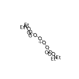 CCN(CC)c1ccc2cc(-c3ccc(-c4ccc5c(c4)C(C)(C)c4cc(-c6ccc(-c7cc8ccc(N(CC)CC)cc8oc7=O)cc6)ccc4-5)cc3)c(=O)oc2c1